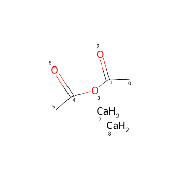 CC(=O)OC(C)=O.[CaH2].[CaH2]